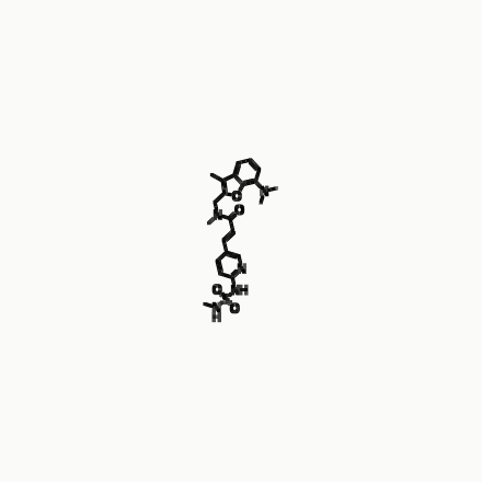 CNS(=O)(=O)Nc1ccc(/C=C/C(=O)N(C)Cc2oc3c(N(C)C)cccc3c2C)cn1